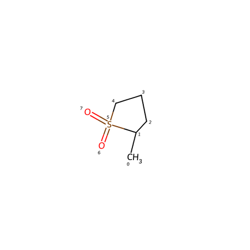 CC1CCCS1(=O)=O